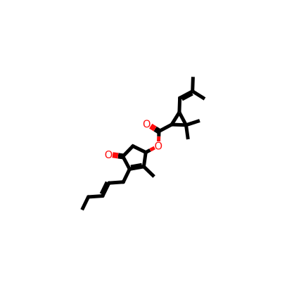 CC/C=C/CC1=C(C)C(OC(=O)C2C(C=C(C)C)C2(C)C)CC1=O